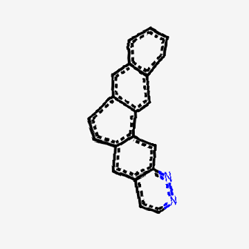 c1ccc2cc3c(ccc4cc5ccnnc5cc43)cc2c1